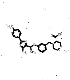 Cc1ccc(-c2nc(C(C)Oc3cccc(CN4CCOC[C@H]4C(=O)O)c3)c(C)o2)cc1